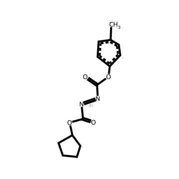 Cc1ccc(OC(=O)/N=N/C(=O)OC2CCCC2)cc1